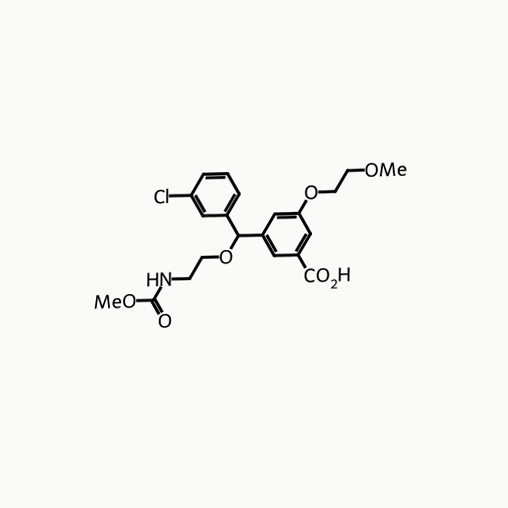 COCCOc1cc(C(=O)O)cc(C(OCCNC(=O)OC)c2cccc(Cl)c2)c1